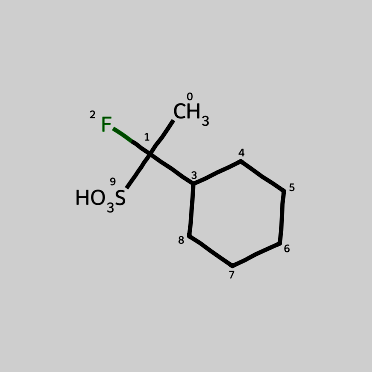 CC(F)(C1CCCCC1)S(=O)(=O)O